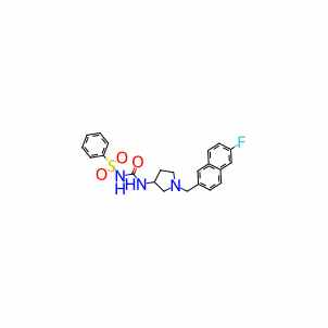 O=C(NC1CCN(Cc2ccc3cc(F)ccc3c2)C1)NS(=O)(=O)c1ccccc1